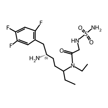 CCC(CC[C@H](N)Cc1cc(F)c(F)cc1F)N(CC)C(=O)CNS(N)(=O)=O